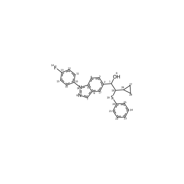 OC(c1ccc2c(cnn2-c2ccc(F)cc2)c1)C(Sc1ccccc1)C1CC1